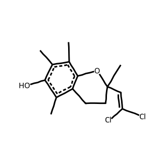 Cc1c(C)c2c(c(C)c1O)CCC(C)(C=C(Cl)Cl)O2